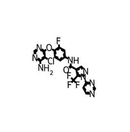 Nc1ncnc(Oc2ccc(NC(=O)c3cnn(-c4ccncn4)c3C(F)(F)F)cc2F)c1Cl